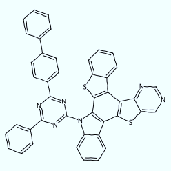 c1ccc(-c2ccc(-c3nc(-c4ccccc4)nc(-n4c5ccccc5c5c6sc7cncnc7c6c6c7ccccc7sc6c54)n3)cc2)cc1